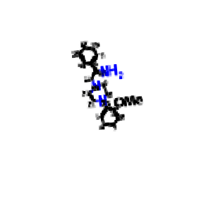 COc1ccccc1N1CCN(CC(N)c2ccccc2)CC1